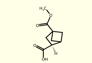 COC(=O)C12CC(C1)[C@@H](C(=O)O)C2